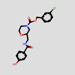 O=C(NCC1CN(C(=O)OCc2cccc(Cl)c2)CCO1)c1ccc(O)cc1